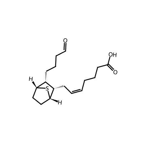 O=CCCC[C@@H]1[C@H](C/C=C\CCCC(=O)O)[C@@H]2CC[C@H]1S2